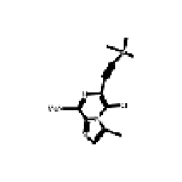 CNc1nc(C#C[Si](C)(C)C)c(Cl)n2c(C)cnc12